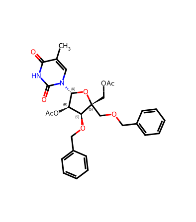 CC(=O)OC[C@]1(COCc2ccccc2)O[C@@H](n2cc(C)c(=O)[nH]c2=O)[C@H](OC(C)=O)[C@@H]1OCc1ccccc1